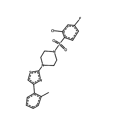 Cc1ccccc1-c1csc(N2CCN(S(=O)(=O)c3ccc(F)cc3Cl)CC2)n1